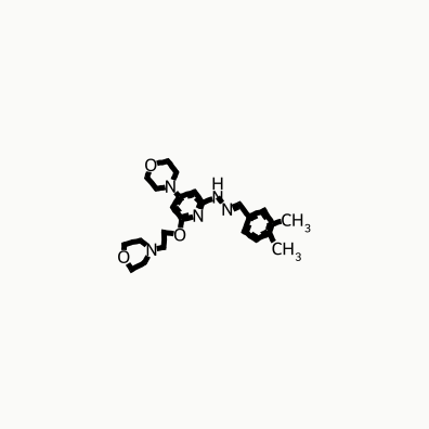 Cc1ccc(/C=N/Nc2cc(N3CCOCC3)cc(OCCN3CCOCC3)n2)cc1C